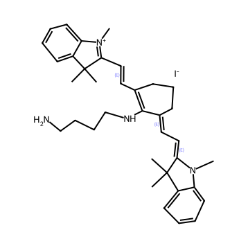 CN1/C(=C/C=C2\CCCC(/C=C/C3=[N+](C)c4ccccc4C3(C)C)=C2NCCCCN)C(C)(C)c2ccccc21.[I-]